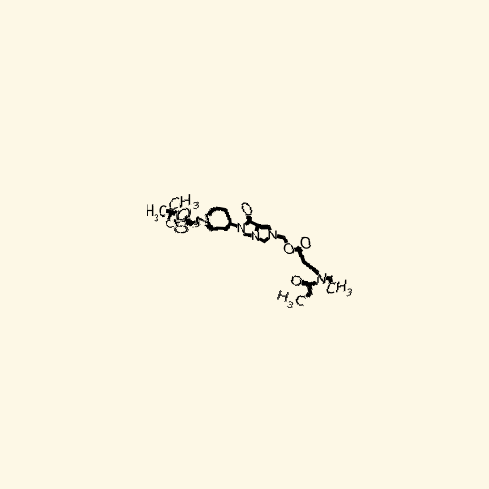 CCC(=O)N(CC)CCC(=O)OCN1C=C2C(=O)N(C3CCN(C(=O)OC(C)(C)C)CC3)CN2C1